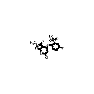 Cn1[nH]c2nc(Cl)cc(Nc3ccc(F)cc3S(C)(=O)=O)c2c1=O